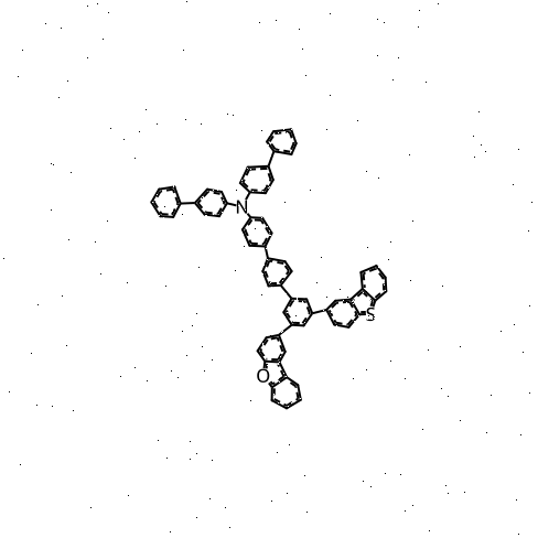 c1ccc(-c2ccc(N(c3ccc(-c4ccccc4)cc3)c3ccc(-c4ccc(-c5cc(-c6ccc7oc8ccccc8c7c6)cc(-c6ccc7sc8ccccc8c7c6)c5)cc4)cc3)cc2)cc1